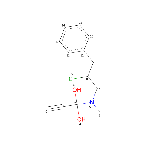 C#CC(O)(O)N(C)CC(Cl)Cc1ccccc1